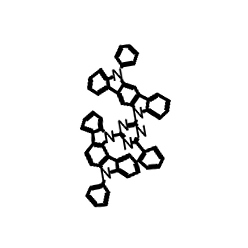 c1ccc(-c2nc(-n3c4ccccc4c4cc5c(cc43)c3ccccc3n5-c3ccccc3)nc(-n3c4ccccc4c4ccc5c(c6ccccc6n5-c5ccccc5)c43)n2)cc1